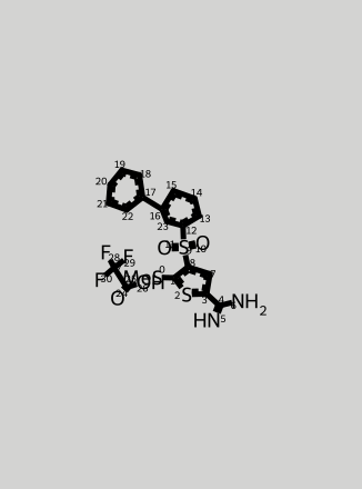 CSc1sc(C(=N)N)cc1S(=O)(=O)c1cccc(-c2ccccc2)c1.O=C(O)C(F)(F)F